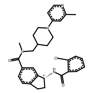 Cc1cc(N2CCC(CN(C)C(=O)c3ccc4c(c3)[C@H](NC(=O)c3ccccc3Cl)CC4)CC2)ccn1